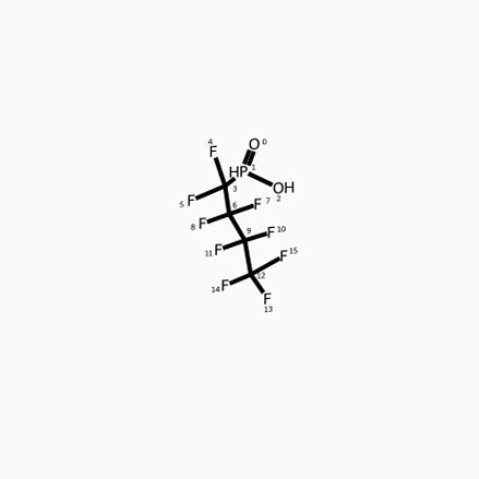 O=[PH](O)C(F)(F)C(F)(F)C(F)(F)C(F)(F)F